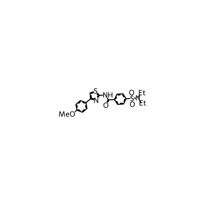 CCN(CC)S(=O)(=O)c1ccc(C(=O)Nc2nc(-c3ccc(OC)cc3)cs2)cc1